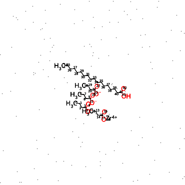 CCCC(=O)[O-].CCCC(=O)[O-].CCCC(=O)[O-].CCCC(=O)[O-].CCCCCCCCCCCCCCCCCC(=O)O.[Zr+4]